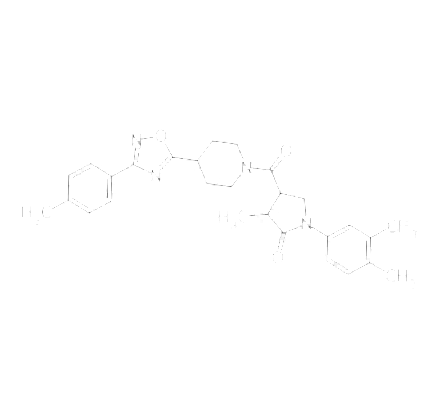 Cc1ccc(-c2noc(C3CCN(C(=O)C4CN(c5ccc(C)c(C)c5)C(=O)C4C)CC3)n2)cc1